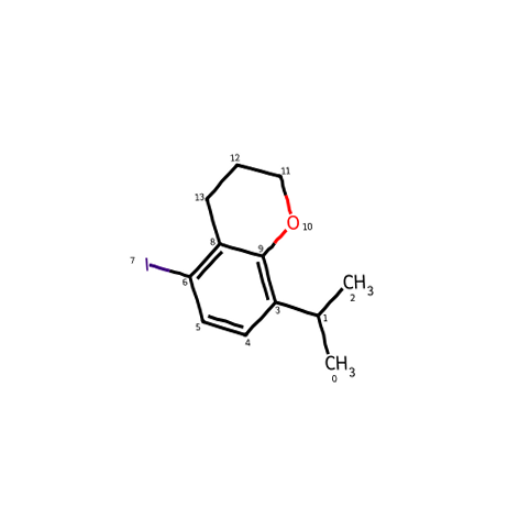 CC(C)c1ccc(I)c2c1OCCC2